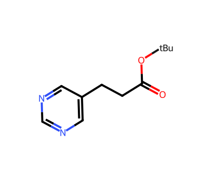 CC(C)(C)OC(=O)CCc1cncnc1